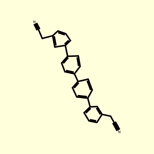 N#CCc1cccc(-c2ccc(-c3ccc(-c4cccc(CC#N)c4)cc3)cc2)c1